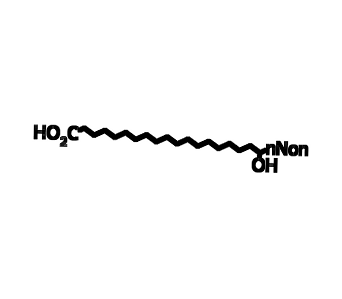 CCCCCCCCCC(O)CCCCCCCCCCCCCCCCCC(=O)O